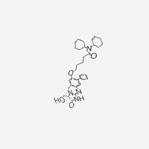 O=C1NC2=Nc3cc(Cl)c(OCCCCC(=O)N(C4CCCCC4)C4CCCCC4)cc3CN2C1CO